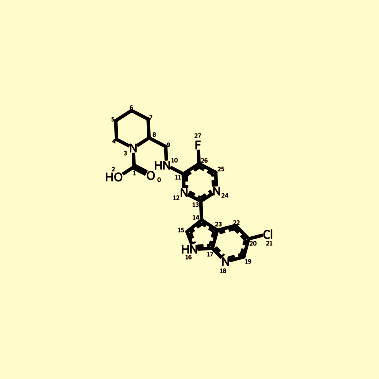 O=C(O)N1CCCCC1CNc1nc(-c2c[nH]c3ncc(Cl)cc23)ncc1F